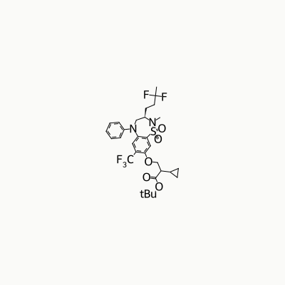 CN1[C@H](CCC(C)(F)F)CN(c2ccccc2)c2cc(C(F)(F)F)c(OCC(C(=O)OC(C)(C)C)C3CC3)cc2S1(=O)=O